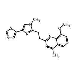 COc1cccc2c(C)nc(CCc3nc(-c4cncs4)cn3C)nc12